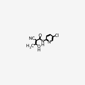 CC(O)=C(C#N)C(=O)Nc1ccc(Cl)cn1